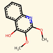 COc1nc2ccccc2c(O)c1OC